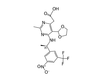 Cc1nc(CC(=O)O)c(C2OCCO2)c(N[C@H](C)c2cc([N+](=O)[O-])cc(C(F)(F)F)c2)n1